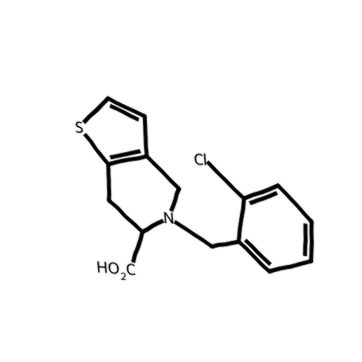 O=C(O)C1Cc2sccc2CN1Cc1ccccc1Cl